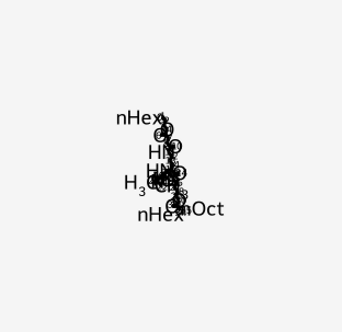 CCCCCC/C=C\COC(=O)CCC(=O)NCCCC(NC(=O)CN(C)C)C(=O)NCCCCOC(=O)C(CCCCCC)CCCCCCCC